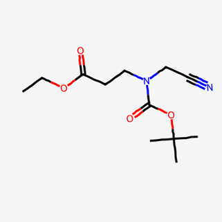 CCOC(=O)CCN(CC#N)C(=O)OC(C)(C)C